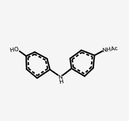 CC(=O)Nc1ccc(Nc2ccc(O)cc2)cc1